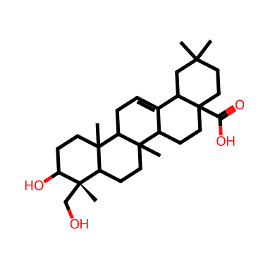 CC1(C)CCC2(C(=O)O)CCC3C(=CCC4C3(C)CCC3C4(C)CCC(O)[C@@]3(C)CO)C2C1